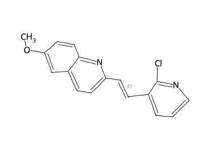 COc1ccc2nc(/C=C/c3cccnc3Cl)ccc2c1